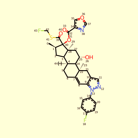 C[C@@H]1CC2[C@@H]3CCC4=Cc5c(cnn5-c5ccc(F)cc5)C[C@]4(C)C3[C@@H](O)C[C@]2(C)[C@@]1(OC(=O)c1cocn1)C(=O)SCF